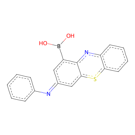 OB(O)c1cc(=Nc2ccccc2)cc2sc3ccccc3nc1-2